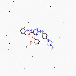 CCCOc1ccccc1Oc1nc(Nc2ccc(N3CCN(C(C)C)CC3)cc2)ncc1C(=O)Nc1c(C)cccc1C